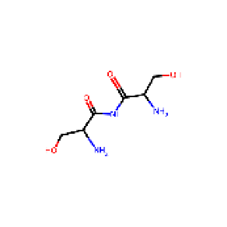 NC(CO)C(=O)NC(=O)C(N)CO